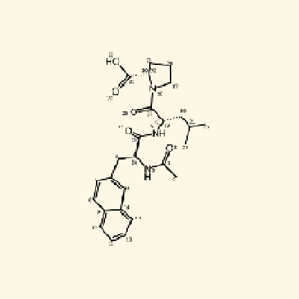 CC(=O)N[C@@H](Cc1ccc2ccccc2c1)C(=O)N[C@@H](CC(C)C)C(=O)N1CCC[C@H]1C(=O)O